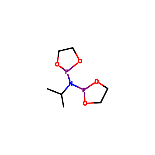 CC(C)N(P1OCCO1)P1OCCO1